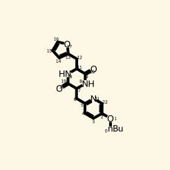 CCCCOc1ccc(CC2NC(=O)C(Cc3ccco3)NC2=O)nc1